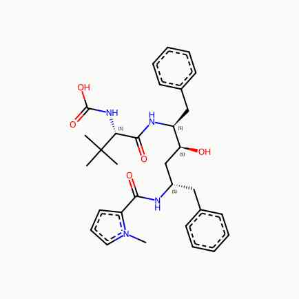 Cn1cccc1C(=O)N[C@@H](Cc1ccccc1)C[C@H](O)[C@H](Cc1ccccc1)NC(=O)[C@@H](NC(=O)O)C(C)(C)C